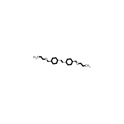 CCCOC[C@H]1CC[C@H](CC[C@H]2CC[C@H](COCCC)CC2)CC1